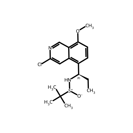 CC[C@@H](N[S+]([O-])C(C)(C)C)c1ccc(OC)c2cnc(Cl)cc12